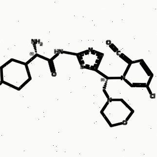 CC1CCC([C@H](N)C(=O)Nc2ncc([C@@H](CN3CCOCC3)N3C=C(Cl)C=CC3=C=O)s2)CC1